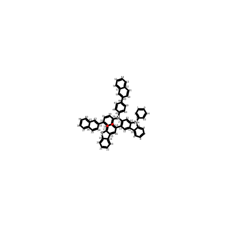 c1ccc(-n2c3ccccc3c3cc(-c4ccc5sc6ccccc6c5c4)c(N(c4ccc(-c5ccc6ccccc6c5)cc4)c4ccc(-c5ccc6ccccc6c5)cc4)cc32)cc1